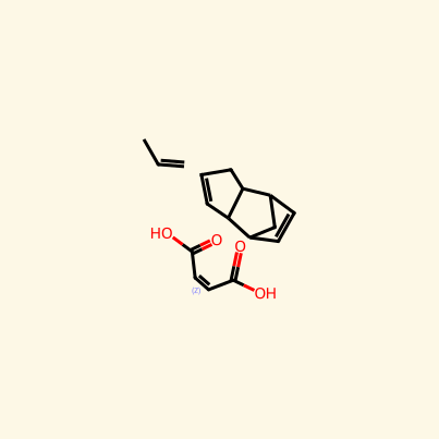 C1=CC2C3C=CC(C3)C2C1.C=CC.O=C(O)/C=C\C(=O)O